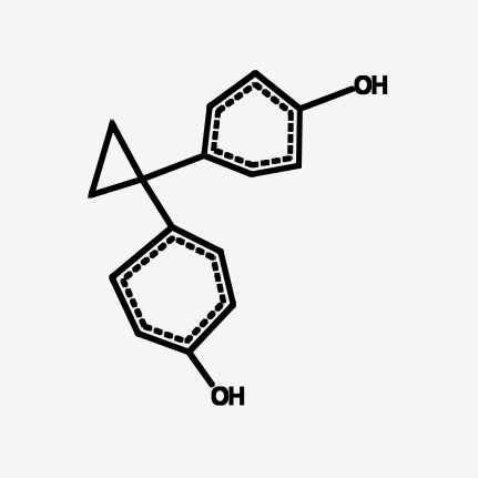 Oc1ccc(C2(c3ccc(O)cc3)CC2)cc1